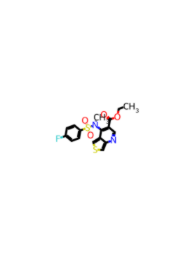 CCOC(=O)c1cnc2cscc2c1N(C)S(=O)(=O)c1ccc(F)cc1